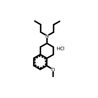 CCCN(CCC)C1CCc2c(cccc2OC)C1.Cl